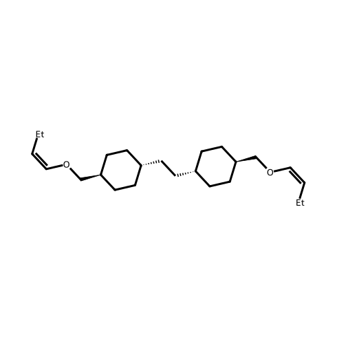 CC/C=C\OC[C@H]1CC[C@H](CC[C@H]2CC[C@H](CO/C=C\CC)CC2)CC1